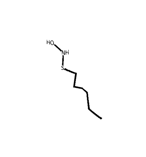 CCCCCSNO